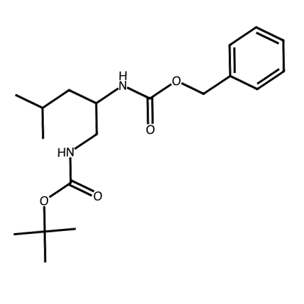 CC(C)CC(CNC(=O)OC(C)(C)C)NC(=O)OCc1ccccc1